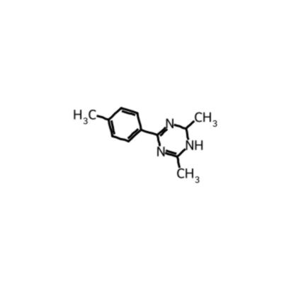 CC1=NC(c2ccc(C)cc2)=NC(C)N1